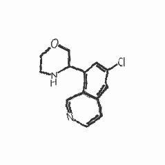 Clc1cc(C2COCCN2)c2cnccc2c1